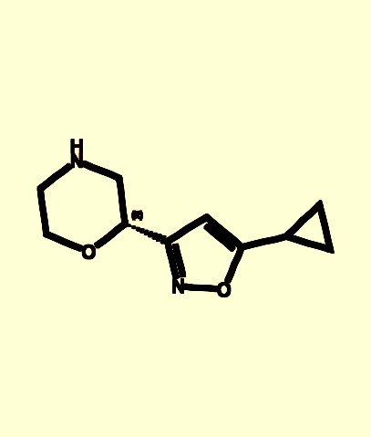 c1c([C@H]2CNCCO2)noc1C1CC1